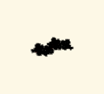 C=Cc1ccc(C2(c3ccccc3F)c3ccccc3-c3ccc(N(c4ccc5c(c4)C(c4ccc(C=C)cc4)(c4ccccc4F)c4ccccc4-5)c4cccc5c4C(C)(C)c4cc(-c6ccc7c(c6)C(c6ccc(C=C)cc6)(c6c(F)cccc6F)c6cc(N(c8ccc9c(c8)C(c8ccc(C=C)cc8)(c8c(F)cccc8F)c8ccccc8-9)c8cccc9c8C(C)(C)c8ccccc8-9)ccc6-7)ccc4-5)cc32)cc1